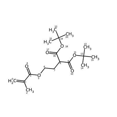 C=C(C)C(=O)OCCC(C(=O)OC(C)(C)C)C(=O)OC(C)(C)C